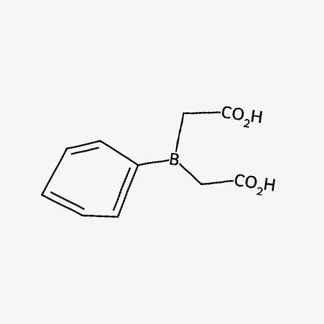 O=C(O)CB(CC(=O)O)c1ccccc1